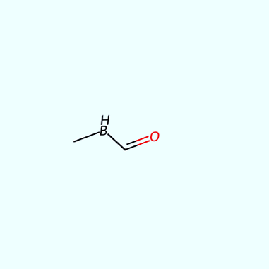 CBC=O